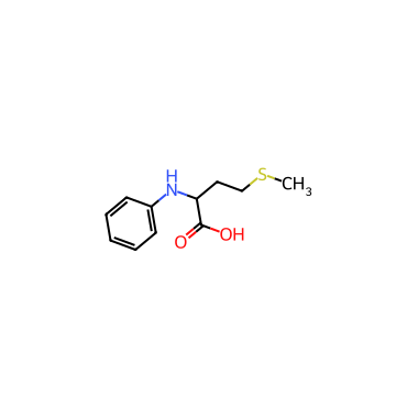 CSCCC(Nc1ccccc1)C(=O)O